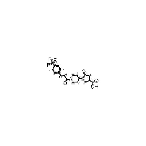 O=C(O)C1CC(=O)N(C2CCN(C(=O)CCc3ccc(C(F)(F)F)cc3)CC2)C1